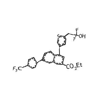 CCOC(=O)c1cc(-c2csc(CC(O)(F)F)c2)c2ccc(-c3ccc(C(F)(F)F)cc3)cc2c1